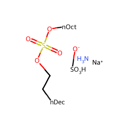 CCCCCCCCCCCCOS(=O)(=O)OCCCCCCCC.N.O=S(=O)([O-])O.[Na+]